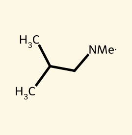 C[N]CC(C)C